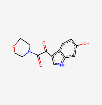 O=C(C(=O)N1CCOCC1)c1c[nH]c2cc(O)ccc12